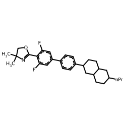 CCCC1CCC2CC(c3ccc(-c4cc(F)c(C5=NC(C)(C)CO5)c(F)c4)cc3)CCC2C1